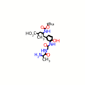 CC(N)C(=O)NCC(=O)Nc1cc(C[C@@H](CC(C)C(=O)O)NC(=O)OC(C)(C)C)ccc1O